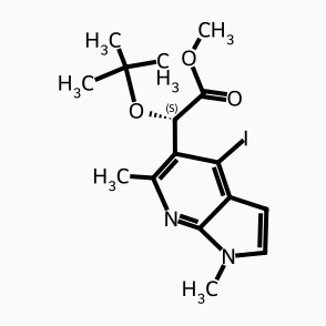 COC(=O)[C@@H](OC(C)(C)C)c1c(C)nc2c(ccn2C)c1I